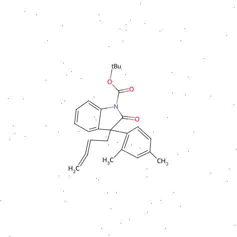 C=C=CCC1(c2ccc(C)cc2C)C(=O)N(C(=O)OC(C)(C)C)c2ccccc21